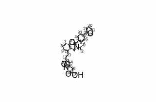 CC(C)N(Cc1ccccc1CCc1cc(CC(=O)O)no1)C(=O)c1ccc(-c2ccco2)cc1